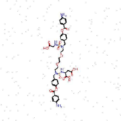 Nc1ccc(C(=O)Oc2ccc(CN(CCOCCOCCN(Cc3ccc(OC(=O)c4ccc(N)cc4)cc3)S(=O)(=O)NCC(=O)O)[S+]([O-])NC(CC(=O)O)C(=O)O)cc2)cc1